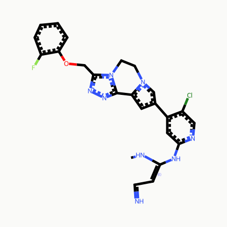 CN/C(=C\C=N)Nc1cc(-c2cc3n(c2)CCn2c(COc4ccccc4F)nnc2-3)c(Cl)cn1